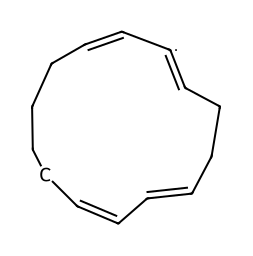 [C]1=C/CC/C=C/C=C\CCCC\C=C/1